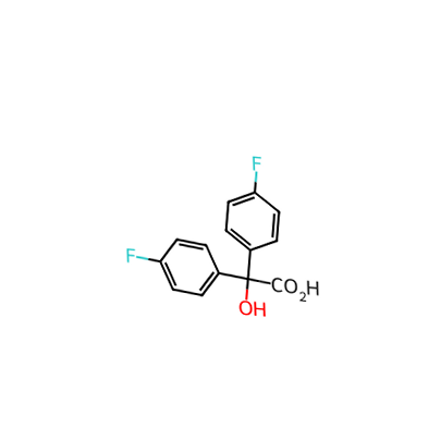 O=C(O)C(O)(c1ccc(F)cc1)c1ccc(F)cc1